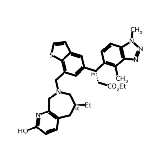 CCOC(=O)C[C@H](c1cc(CN2Cc3nc(O)ccc3C[C@H](CC)C2)c2sccc2c1)c1ccc2c(nnn2C)c1C